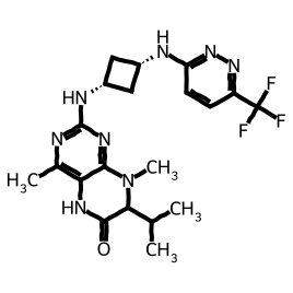 Cc1nc(N[C@H]2C[C@@H](Nc3ccc(C(F)(F)F)nn3)C2)nc2c1NC(=O)C(C(C)C)N2C